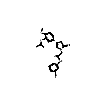 COc1ccc([C@@H]2CC(=O)N(CC(=O)Nc3cccc(F)c3)C2)cc1OC(C)C